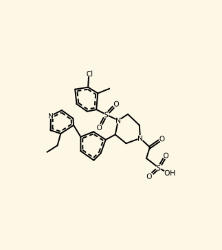 CCc1cnccc1-c1cccc(C2CN(C(=O)CS(=O)(=O)O)CCN2S(=O)(=O)c2cccc(Cl)c2C)c1